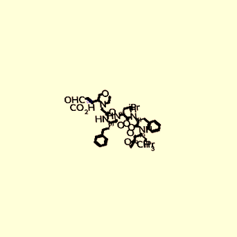 CC(C)C[C@H](NC(=O)[C@H](CCc1ccccc1)NC(=O)CN1CCOCC1/C(=C/C=O)C(=O)O)C(=O)N[C@@H](Cc1ccccc1)C(=O)N[C@@H](CC(C)C)C(=O)[C@@]1(C)CO1